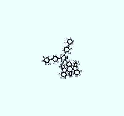 c1ccc(-c2ccc(-c3nc(-c4ccc(-c5ccccc5)cc4)nc(-c4ccc5c(c4)C4(c6ccccc6-c6ccccc64)c4ccccc4C54c5ccccc5-c5ccccc54)n3)cc2)cc1